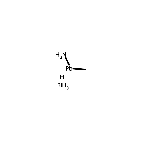 I.[BiH3].[CH3][Pb][NH2]